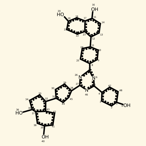 Oc1ccc(-c2nc(-c3ccc(-c4ccc(O)c5cc(O)ccc45)cc3)nc(-c3ccc(-c4ccc(O)c5cc(O)ccc45)cc3)n2)cc1